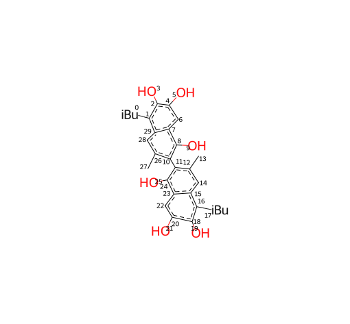 CCC(C)c1c(O)c(O)cc2c(O)c(-c3c(C)cc4c(C(C)CC)c(O)c(O)cc4c3O)c(C)cc12